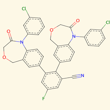 N#Cc1cc(F)cc(-c2ccc3c(c2)COCC(=O)N3c2cccc(Cl)c2)c1-c1ccc2c(c1)COCC(=O)N2c1cccc(Cl)c1